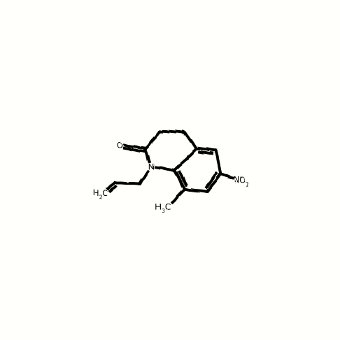 C=CCN1C(=O)CCc2cc([N+](=O)[O-])cc(C)c21